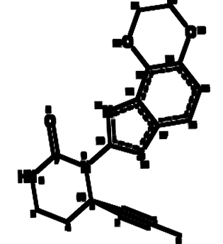 CC#C[C@H]1CCNC(=O)N1c1nc2c3c(ccc2s1)OCCO3